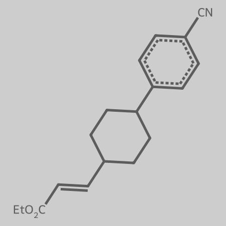 CCOC(=O)C=CC1CCC(c2ccc(C#N)cc2)CC1